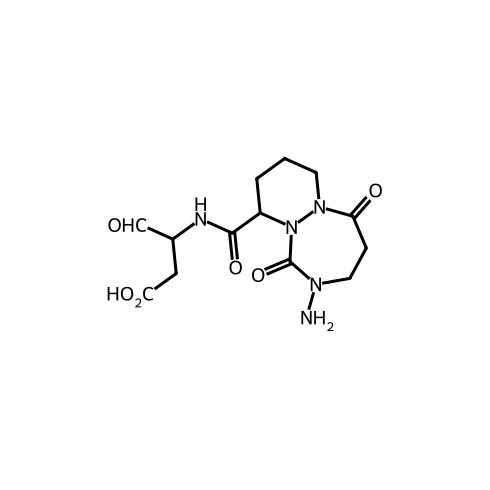 NN1CCC(=O)N2CCCC(C(=O)NC(C=O)CC(=O)O)N2C1=O